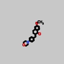 COc1ccc2c(c1)CC/C(=C\c1ccc(N3CCOCC3)cc1)C2=O